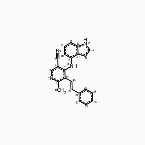 Cc1ncc(C#N)c(Nc2cccc3[nH]ccc23)c1/C=C/c1ccccc1